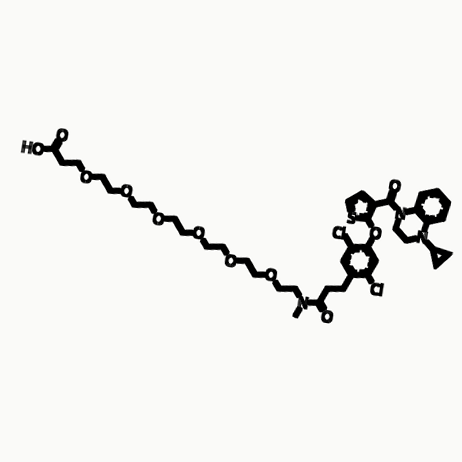 CN(CCOCCOCCOCCOCCOCCOCCC(=O)O)C(=O)CCc1cc(Cl)c(Oc2sccc2C(=O)N2CCN(C3CC3)c3ccccc32)cc1Cl